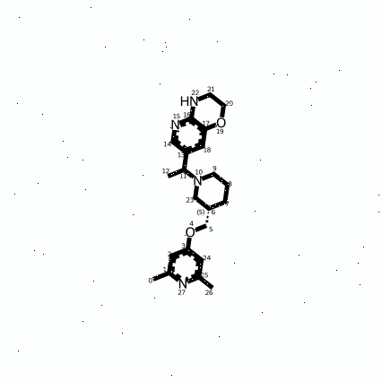 Cc1cc(OC[C@H]2CCCN(C(C)c3cnc4c(c3)OCCN4)C2)cc(C)n1